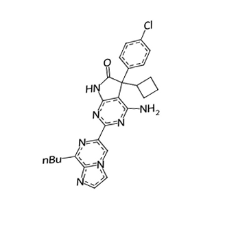 CCCCc1nc(-c2nc(N)c3c(n2)NC(=O)C3(c2ccc(Cl)cc2)C2CCC2)cn2ccnc12